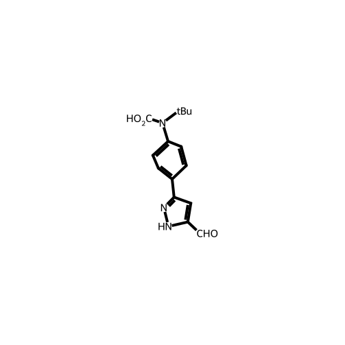 CC(C)(C)N(C(=O)O)c1ccc(-c2cc(C=O)[nH]n2)cc1